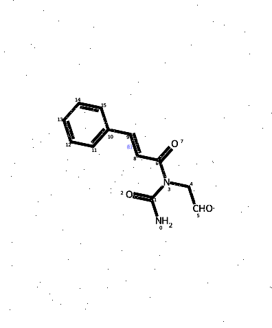 NC(=O)N(C[C]=O)C(=O)/C=C/c1ccccc1